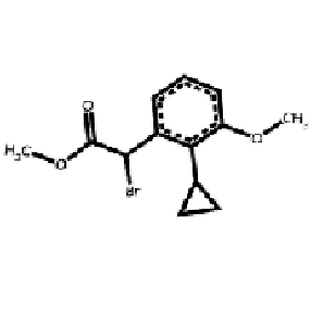 COC(=O)C(Br)c1cccc(OC)c1C1CC1